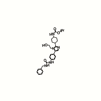 CC(C)OC(=O)NC1CCC(c2ncc(-c3ccc(NC(=O)NCc4ccccc4)cc3)n2CCO)CC1